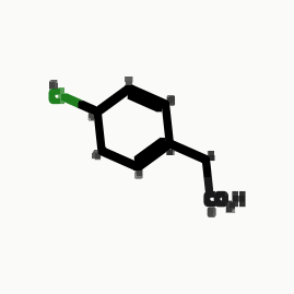 O=C(O)CC1=CCC(Cl)C=C1